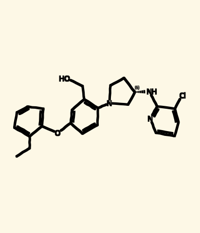 CCc1ccccc1Oc1ccc(N2CC[C@H](Nc3ncccc3Cl)C2)c(CO)c1